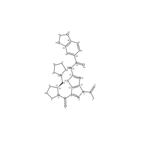 C=C(C)n1nc(C(=O)N2CCC[C@H]2CN2CCCC2)c2sc(NC(=O)c3ccc4c(c3)OCO4)nc21